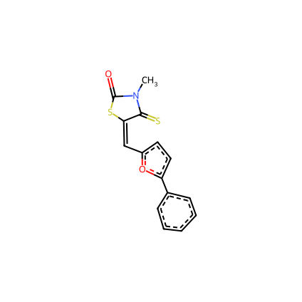 CN1C(=O)S/C(=C/c2ccc(-c3ccccc3)o2)C1=S